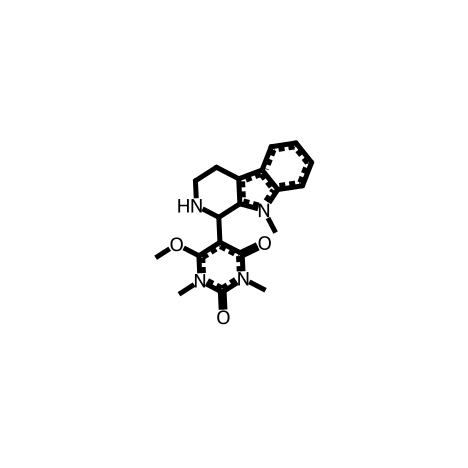 COc1c(C2NCCc3c2n(C)c2ccccc32)c(=O)n(C)c(=O)n1C